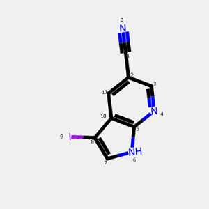 N#Cc1cnc2[nH]cc(I)c2c1